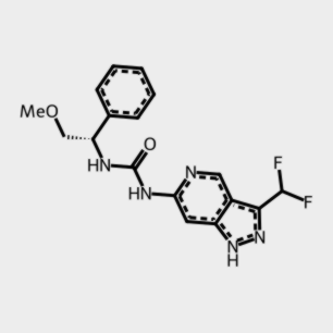 COC[C@@H](NC(=O)Nc1cc2[nH]nc(C(F)F)c2cn1)c1ccccc1